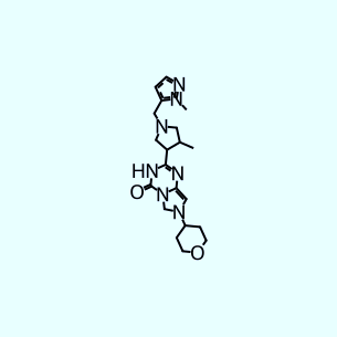 CC1CN(Cc2ccnn2C)CC1C1=NC2=CN(C3CCOCC3)CN2C(=O)N1